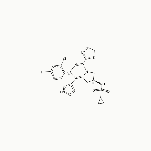 O=S(=O)(N[C@H]1CC2=C(c3cc[nH]n3)[C@H](c3ccc(F)cc3Cl)N=C(c3nccs3)N2C1)C1CC1